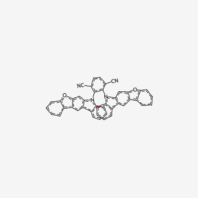 N#Cc1ccc(C#N)c(-n2c3ccccc3c3cc4c(cc32)oc2ccccc24)c1-n1c2ccccc2c2cc3c(cc21)oc1ccccc13